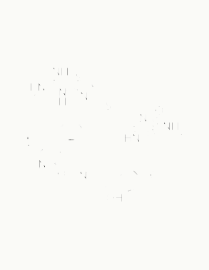 CN(C)C(=O)C(CCN1CCC(O)(c2ccc(Cl)cc2)CC1)(c1ccccc1)c1ccccc1.N=C(N)Nc1nc(CSCCC(=N)NS(N)(=O)=O)cs1